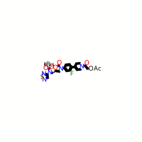 CC(=O)OCC(=O)N1CC=C(c2ccc(N3C[C@H](CN(C(=O)OC(C)(C)C)c4cnsn4)OC3=O)cc2F)CC1